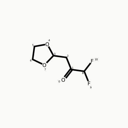 O=C(CC1OCCO1)C(F)F